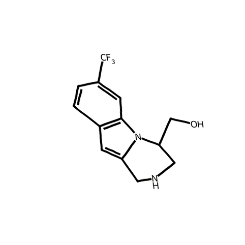 OCC1CNCc2cc3ccc(C(F)(F)F)cc3n21